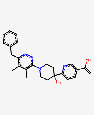 C=C(O)c1ccc(C2(O)CCN(c3nnc(Cc4ccccc4)c(C)c3C)CC2)nc1